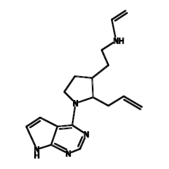 C=CCC1C(CCNC=C)CCN1c1ncnc2[nH]ccc12